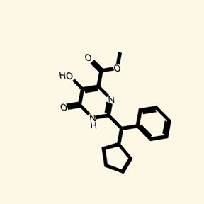 COC(=O)c1nc(C(c2ccccc2)C2CCCC2)[nH]c(=O)c1O